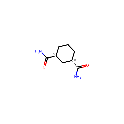 NC(=O)[C@H]1CCC[C@H](C(N)=O)C1